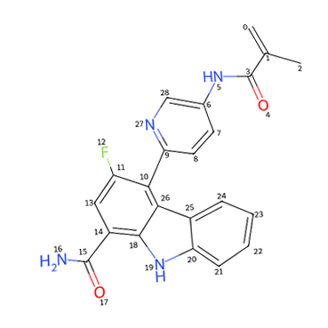 C=C(C)C(=O)Nc1ccc(-c2c(F)cc(C(N)=O)c3[nH]c4ccccc4c23)nc1